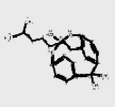 CC(C)CCCCCc1cc2ccc1OP(O)Oc1ccc(cc1)C2(C)C